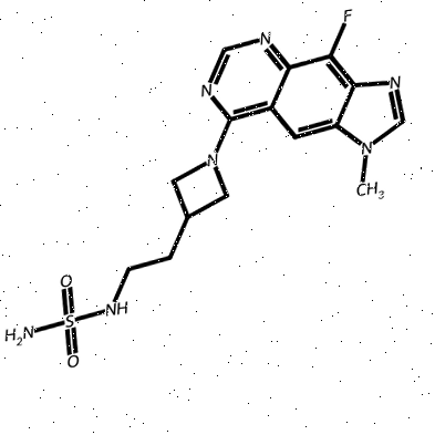 Cn1cnc2c(F)c3ncnc(N4CC(CCNS(N)(=O)=O)C4)c3cc21